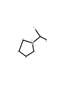 CC(I)N1CCCC1